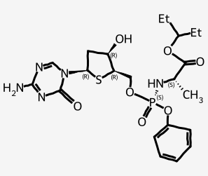 CCC(CC)OC(=O)[C@H](C)N[P@](=O)(OC[C@H]1S[C@@H](n2cnc(N)nc2=O)C[C@H]1O)Oc1ccccc1